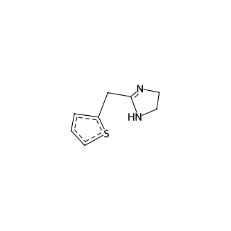 c1csc(CC2=NCCN2)c1